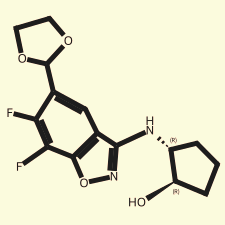 O[C@@H]1CCC[C@H]1Nc1noc2c(F)c(F)c(C3OCCO3)cc12